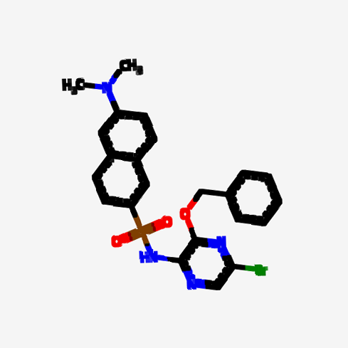 CN(C)c1ccc2cc(S(=O)(=O)Nc3ncc(Br)nc3OCc3ccccc3)ccc2c1